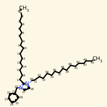 CCCCCCCCCCCCCCCCCCc1n(Cc2ccccc2)cc[n+]1CCCCCCCCCCCCCCCCC